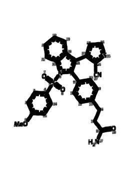 COc1ccc(S(=O)(=O)n2c(-c3ccc(CCC(N)=O)cc3)c(-c3ccsc3C#N)c3ccccc32)cc1